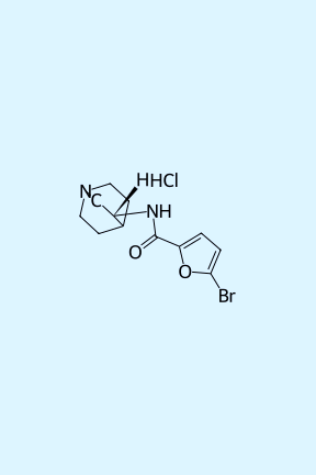 Cl.O=C(N[C@H]1CN2CCC1CC2)c1ccc(Br)o1